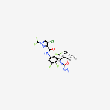 C[C@@H]1OC(N)=N[C@](c2cc(NC(=O)c3nn(C(F)F)cc3Cl)cc(F)c2F)(C(F)F)[C@@H]1C